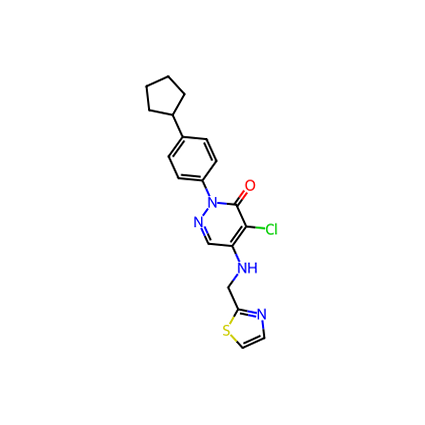 O=c1c(Cl)c(NCc2nccs2)cnn1-c1ccc(C2CCCC2)cc1